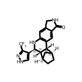 O=C1NCc2cc3c(cc21)[C@@H]1[C@H]2CC[C@H](C2)[C@@H]1[C@@H](c1c[nH]nc1C(F)(F)F)N3